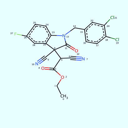 CCOC(=O)C(C#N)C1(C#N)C(=O)N(Cc2ccc(Cl)c(Cl)c2)c2ccc(F)cc21